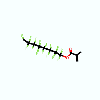 C=C(C)C(=O)OC(F)(F)C(F)(F)C(F)(F)C(F)(F)C(F)(F)C(F)(F)C(F)(F)CF